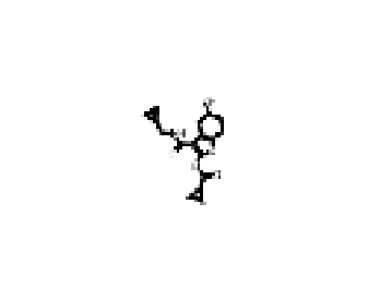 N#CC1CCc2sc(NC(=O)C3CC3)c(C(=O)NCC3CC3)c2C1